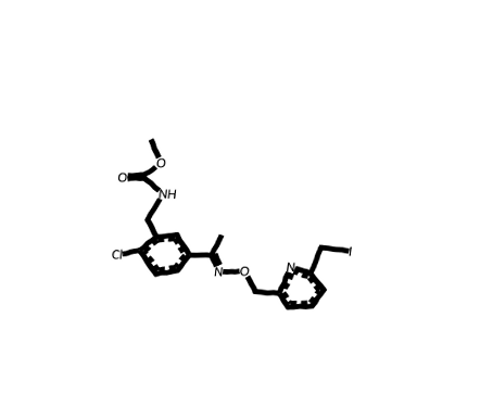 COC(=O)NCc1cc(/C(C)=N/OCc2cccc(CI)n2)ccc1Cl